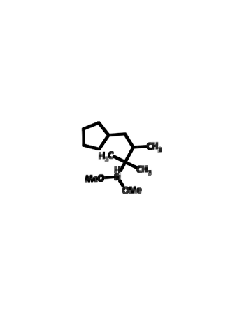 CO[SiH](OC)C(C)(C)C(C)CC1CCCC1